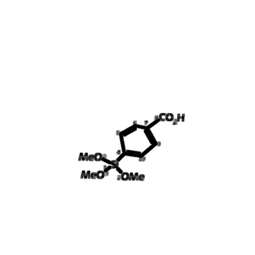 CO[Si](OC)(OC)c1ccc(C(=O)O)cc1